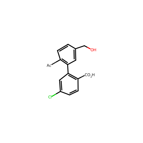 CC(=O)c1ccc(CO)cc1-c1cc(Cl)ccc1C(=O)O